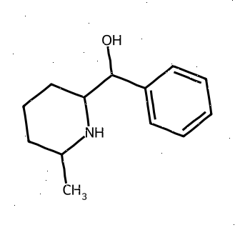 CC1CCCC(C(O)c2ccccc2)N1